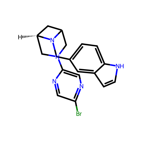 Brc1cnc(N2CC3C[C@H](C2)N3Cc2ccc3[nH]ccc3c2)cn1